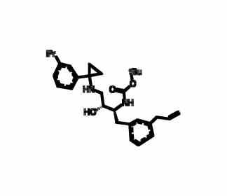 C=CCc1cccc(C[C@H](NC(=O)OC(C)(C)C)[C@H](O)CNC2(c3cccc(C(C)C)c3)CC2)c1